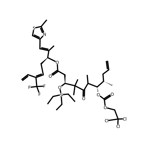 C=CC[C@H](C)[C@H](OC(=O)OCC(Cl)(Cl)Cl)C(C)C(=O)C(C)(C)[C@H](CC(=O)O[C@@H](C/C=C(\C=C)C(F)(F)F)/C(C)=C/c1csc(C)n1)O[Si](CC)(CC)CC